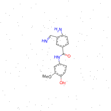 COc1cc(NC(=O)c2ccc(N)c(C=N)c2)ccc1O